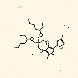 CCCCC(CC)OCC1(COC(CC)CCCC)COc2c(C)sc(-c3cc(C)cs3)c2OC1